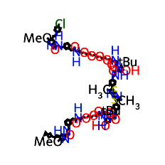 COc1cnc(C(=O)NCc2cccc(CC(=O)NCCOCCOCCOCCOCC(=O)N[C@H](C(=O)N3C[C@H](O)C[C@H]3C(=O)NCc3ccc(-c4sc(-c5nc(C)c(-c6ccc(CNC(=O)[C@@H]7C[C@@H](O)CN7C(=O)[C@@H](NC(=O)COCCOCCNC(=O)Cc7cccc(CNC(=O)c8cc(/C=C/C9CC%10(CC%10)C9)c(OC)cn8)c7)C(C)(C)C)cc6)s5)nc4C)cc3)C(C)(C)C)c2)cc1/C=C/c1ccc(Cl)cc1